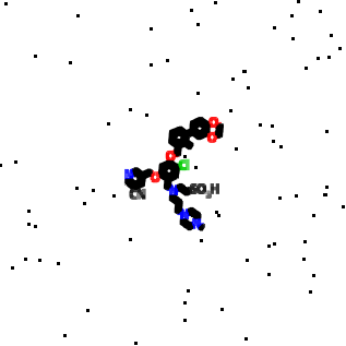 Cc1c(COc2cc(OCc3cncc(C#N)c3)c(CN(CCCN3CCN(C)CC3)CCS(=O)(=O)O)cc2Cl)cccc1-c1ccc2c(c1)OCCO2